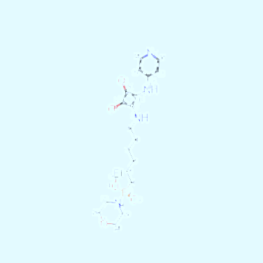 CCOP(=O)(CCCCCCNc1c(Nc2ccncc2)c(=O)c1=O)N1CCOCC1